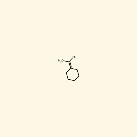 [CH2]C([CH2])=C1CCCCC1